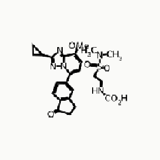 CN(C)S(=O)(=O)CCNC(=O)O.COc1ccc(-c2ccc3c(c2)CCC3=O)n2nc(C3CC3)nc12